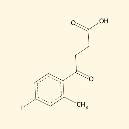 Cc1cc(F)ccc1C(=O)CCC(=O)O